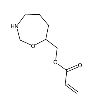 C=CC(=O)OCC1CCCNCO1